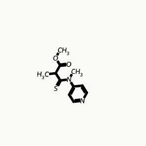 COC(=O)C(C)C(=S)N(C)c1ccncc1